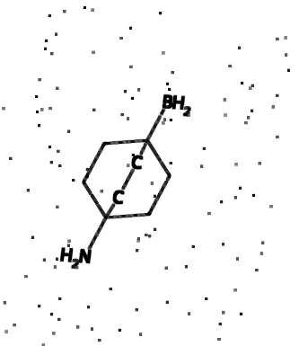 BC12CCC(N)(CC1)CC2